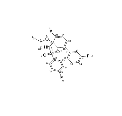 O=S(=O)(NC1(OC(F)F)CC(c2cccc(F)c2)=CC=C1F)c1ccc(F)cc1